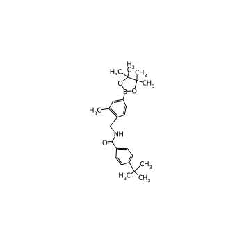 Cc1cc(B2OC(C)(C)C(C)(C)O2)ccc1CNC(=O)c1ccc(C(C)(C)C)cc1